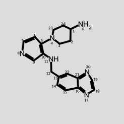 NC1CCN(c2ccncc2NCc2ccc3nccnc3c2)CC1